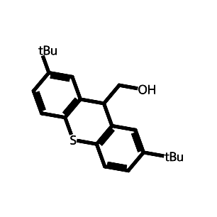 CC(C)(C)c1ccc2c(c1)C(CO)c1cc(C(C)(C)C)ccc1S2